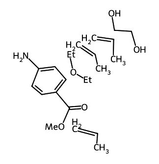 C=CC.C=CC.C=CC.CCOCC.COC(=O)c1ccc(N)cc1.OCCO